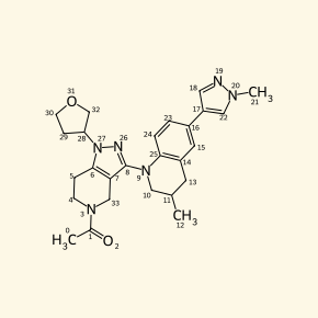 CC(=O)N1CCc2c(c(N3CC(C)Cc4cc(-c5cnn(C)c5)ccc43)nn2C2CCOC2)C1